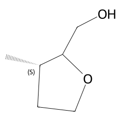 C[C@H]1CCOC1CO